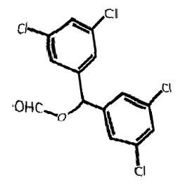 O=[C]OC(c1cc(Cl)cc(Cl)c1)c1cc(Cl)cc(Cl)c1